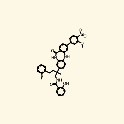 COc1cc(-c2ccc3c(c2)Nc2ccc(C(C)(CCc4ccccc4F)CNC(=O)c4ccccc4O)cc2NC3=O)ccc1[N+](=O)[O-]